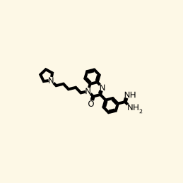 N=C(N)c1cccc(-c2nc3ccccc3n(CCCCCN3CCCC3)c2=O)c1